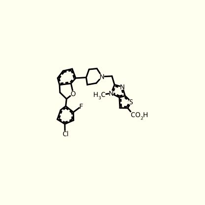 Cn1c(CN2CCC(c3cccc4c3OC(c3ccc(Cl)cc3F)C4)CC2)nc2sc(C(=O)O)cc21